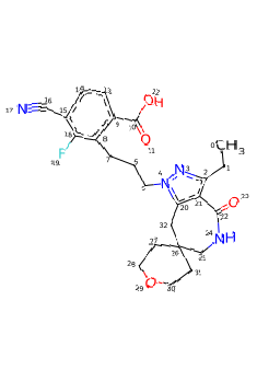 CCc1nn(CCCc2c(C(=O)O)ccc(C#N)c2F)c2c1C(=O)NCC1(CCOCC1)C2